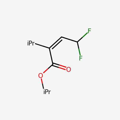 CC(C)OC(=O)/C(=C\C(F)F)C(C)C